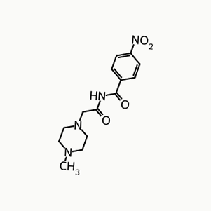 CN1CCN(CC(=O)NC(=O)c2ccc([N+](=O)[O-])cc2)CC1